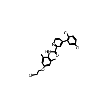 Cc1cc(OCCCl)cc(C)c1NC(=O)c1cc(-c2cc(Cl)ccc2Cl)ccn1